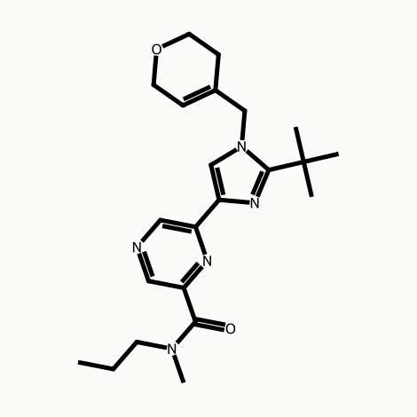 CCCN(C)C(=O)c1cncc(-c2cn(CC3=CCOCC3)c(C(C)(C)C)n2)n1